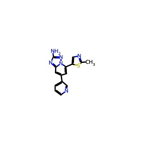 Cc1ncc(-c2cc(-c3cccnc3)cc3nc(N)nn23)s1